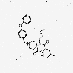 CSCCN1C(=O)C(CC(C)C)NC(=O)C12CCN(Cc1ccc(Oc3ccccc3)cc1)CC2